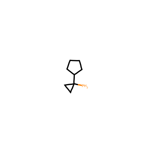 PC1(C2CCCC2)CC1